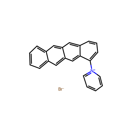 [Br-].c1cc[n+](-c2cccc3cc4cc5ccccc5cc4cc23)cc1